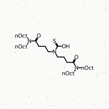 CCCCCCCCN(CCCCCCCC)C(=O)CCCN(CCCC(=O)N(CCCCCCCC)CCCCCCCC)C(O)=S